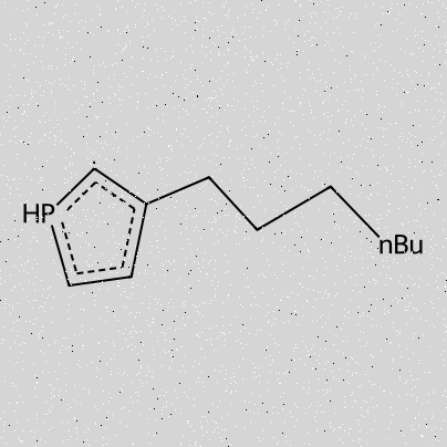 CCCCCCCc1[c][pH]cc1